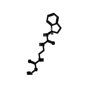 CC(C)(C)OC(=O)NCCNC(=O)N[C@@H]1CCc2ccccc21